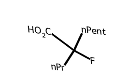 CCCCCC(F)(CCC)C(=O)O